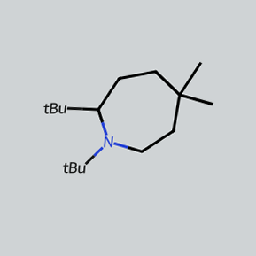 CC1(C)CCC(C(C)(C)C)N(C(C)(C)C)CC1